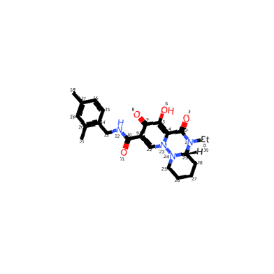 CCN1C(=O)c2c(O)c(=O)c(C(=O)NCc3ccc(C)cc3C)cn2N2CCCC[C@@H]12